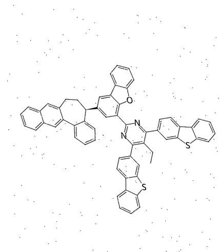 CCc1c(-c2ccc3c(c2)sc2ccccc23)nc(-c2cc([C@@H]3CCc4cc5ccccc5cc4-c4ccccc43)cc3c2oc2ccccc23)nc1-c1ccc2c(c1)sc1ccccc12